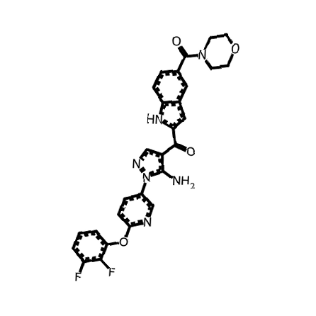 Nc1c(C(=O)c2cc3cc(C(=O)N4CCOCC4)ccc3[nH]2)cnn1-c1ccc(Oc2cccc(F)c2F)nc1